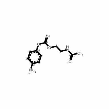 O=C(OCCNC(=O)C(F)(F)F)Oc1ccc([N+](=O)[O-])cc1